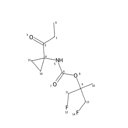 CCC(=O)C1(NC(=O)OC(C)(CF)CF)CC1